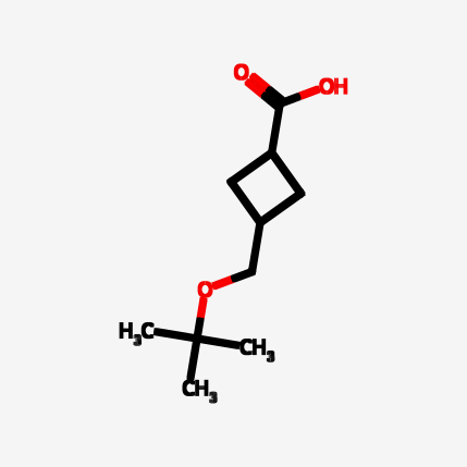 CC(C)(C)OCC1CC(C(=O)O)C1